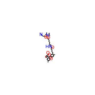 Cc1ccc2c(c1)Oc1cc(C)c(CCCCC(=O)NCCCCCCOP(OCCC#N)N(C(C)C)C(C)C)cc1C21OC(=O)c2ccccc21